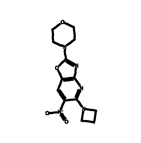 O=[N+]([O-])c1cc2oc(N3CCOCC3)nc2nc1N1CCC1